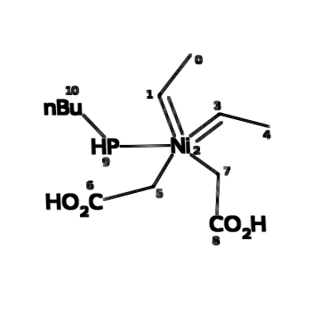 C[CH]=[Ni](=[CH]C)([CH2]C(=O)O)([CH2]C(=O)O)[PH]CCCC